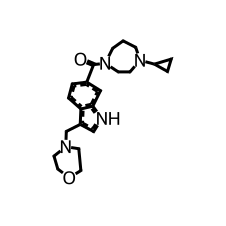 O=C(c1ccc2c(CN3CCOCC3)c[nH]c2c1)N1CCCN(C2CC2)CC1